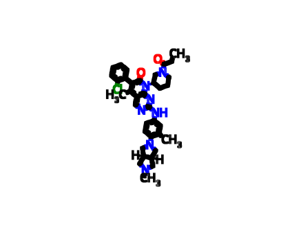 CCC(=O)N1CCC[C@H](n2c(=O)c(-c3ccccc3Cl)c(C)c3cnc(Nc4ccc(N5C[C@H]6CN(C)C[C@H]6C5)c(C)c4)nc32)C1